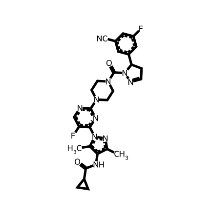 Cc1nn(-c2nc(N3CCN(C(=O)N4N=CCC4c4cc(F)cc(C#N)c4)CC3)ncc2F)c(C)c1NC(=O)C1CC1